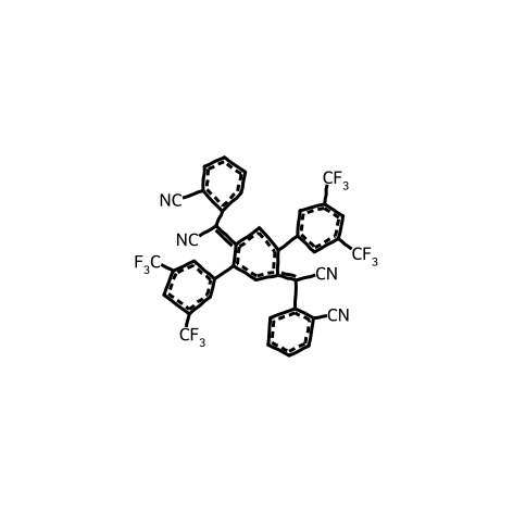 N#C/C(c1ccccc1C#N)=c1/cc(-c2cc(C(F)(F)F)cc(C(F)(F)F)c2)/c(=C(\C#N)c2ccccc2C#N)cc1-c1cc(C(F)(F)F)cc(C(F)(F)F)c1